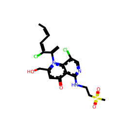 C=C(/C(Cl)=C\C=C/C)n1c(CO)cc(=O)c2c(NCCS(C)(=O)=O)ncc(Cl)c21